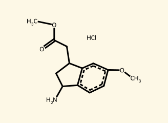 COC(=O)CC1CC(N)c2ccc(OC)cc21.Cl